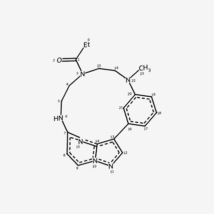 CCC(=O)N1CCNc2ccn3ncc(c3n2)-c2cccc(c2)N(C)CC1